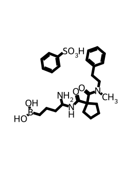 CN(CCc1ccccc1)C(=O)C1(C(=O)NC(N)CCCB(O)O)CCCC1.O=S(=O)(O)c1ccccc1